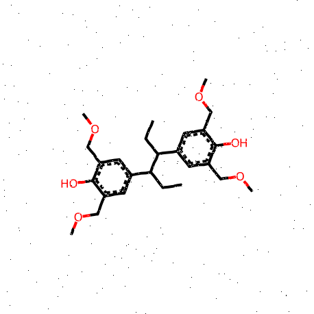 CCC(c1cc(COC)c(O)c(COC)c1)C(CC)c1cc(COC)c(O)c(COC)c1